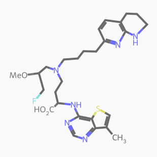 COC(CF)CN(CCCCc1ccc2c(n1)NCCC2)CCC(Nc1ncnc2c(C)csc12)C(=O)O